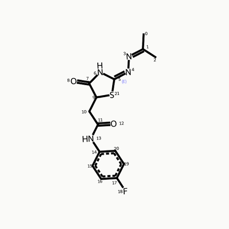 CC(C)=N/N=C1\NC(=O)C(CC(=O)Nc2ccc(F)cc2)S1